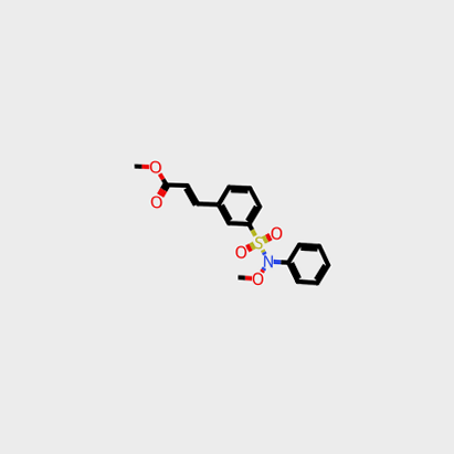 COC(=O)C=Cc1cccc(S(=O)(=O)N(OC)c2ccccc2)c1